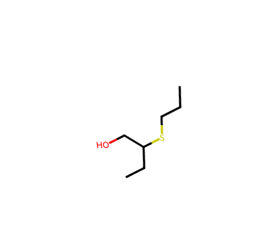 CCCSC(CC)CO